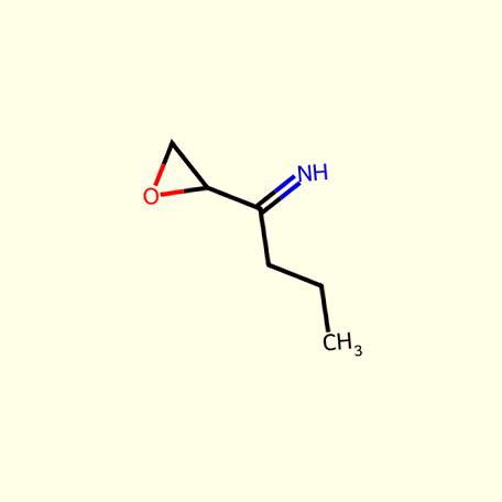 CCCC(=N)C1CO1